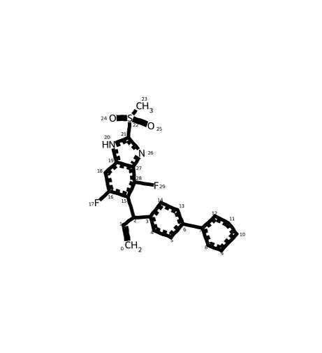 C=CC(c1ccc(-c2ccccc2)cc1)c1c(F)cc2[nH]c(S(C)(=O)=O)nc2c1F